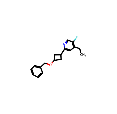 CCc1cc(C2CC(OCc3ccccc3)C2)ncc1F